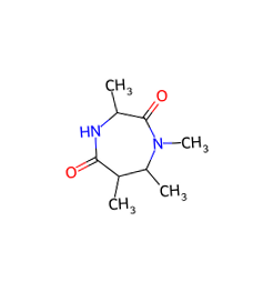 CC1NC(=O)C(C)C(C)N(C)C1=O